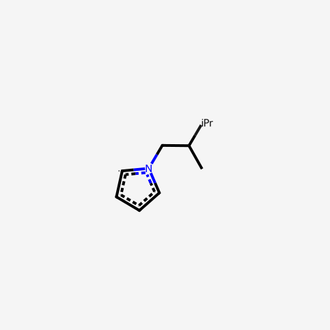 CC(C)C(C)Cn1[c]ccc1